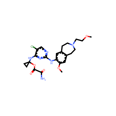 COCCN1CCc2cc(Nc3ncc(Cl)c(NC4(OC(=O)C(N)=O)CC4)n3)c(OC)cc2CC1